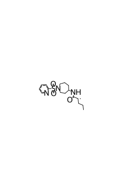 CCC[CH]C(=O)NC1CCCN(S(=O)(=O)c2ccccn2)CC1